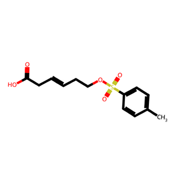 Cc1ccc(S(=O)(=O)OCCC=CCC(=O)O)cc1